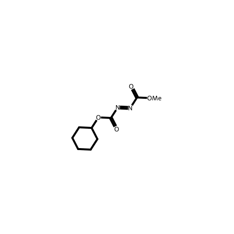 COC(=O)/N=N/C(=O)OC1CCCCC1